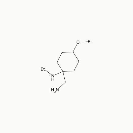 CCNC1(CN)CCC(OCC)CC1